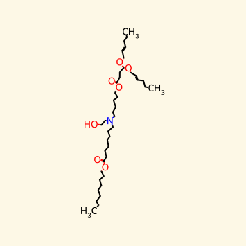 CCC/C=C/COC(CCC(=O)OCCCCCCN(CCO)CCCCCCCC(=O)OCCCCCCCCC)OC/C=C/CCC